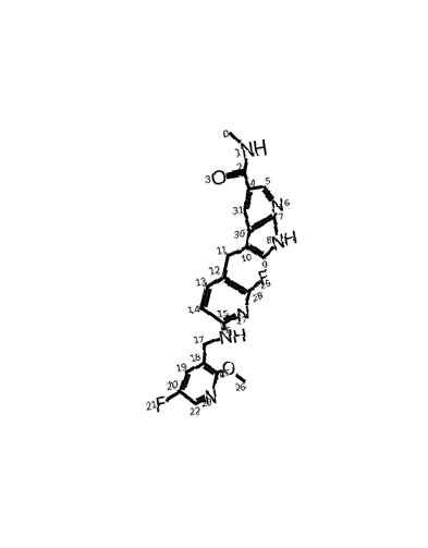 CNC(=O)c1cnc2[nH]cc(Cc3ccc(NCc4cc(F)cnc4OC)nc3F)c2c1